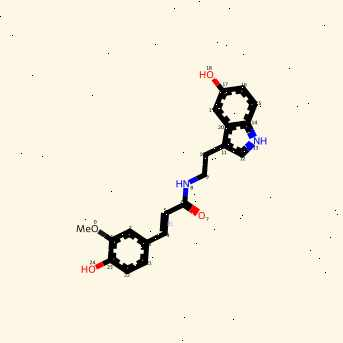 COc1cc(/C=C/C(=O)NCCc2c[nH]c3ccc(O)cc23)ccc1O